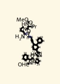 COC(=O)NC(C(=O)N1CCCC1/C(N)=N/C=C/C#Cc1ccc(-c2cnc([C@@H]3CCCN3C(=O)C(NC=O)c3ccccc3)[nH]2)cc1-c1ccccc1)C(C)C